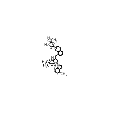 Cc1ncnc2c1ccn2[C@@H]1C[C@H](Cc2cccc3c2CN(C(=O)OC(C)(C)C)CC3)[C@H]2OC(C)(C)O[C@H]21